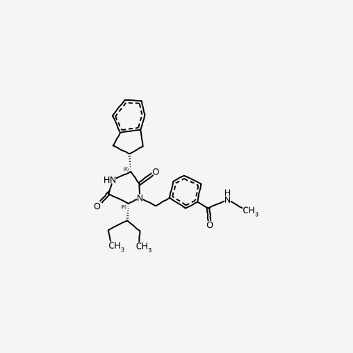 CCC(CC)[C@@H]1C(=O)N[C@H](C2Cc3ccccc3C2)C(=O)N1Cc1cccc(C(=O)NC)c1